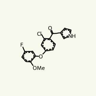 COc1ccc(F)cc1Oc1ccc(C(=O)c2cc[nH]c2)c(Cl)c1